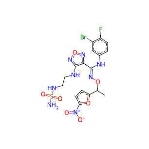 CC(O/N=C(\Nc1ccc(F)c(Br)c1)c1nonc1NCCNS(N)(=O)=O)c1ccc([N+](=O)[O-])o1